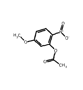 COc1ccc([N+](=O)[O-])c(OC(C)=O)c1